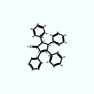 O=C1C(c2ccccc2)=C(c2ccccc2)C(c2ccccc2)C1c1ccccc1